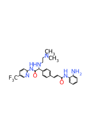 CN(C)CCNC(C(=O)Nc1ccc(C(F)(F)F)cn1)c1ccc(/C=C/C(=O)Nc2ccccc2N)cc1